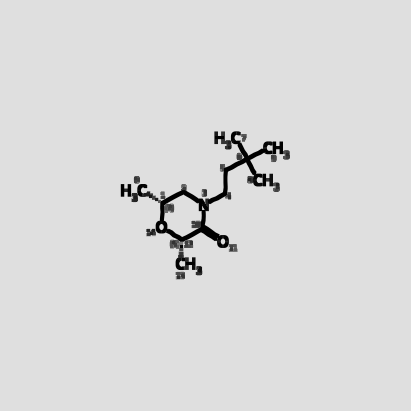 C[C@@H]1CN(CCC(C)(C)C)C(=O)[C@H](C)O1